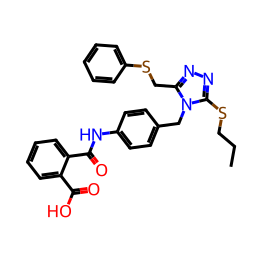 CCCSc1nnc(CSc2ccccc2)n1Cc1ccc(NC(=O)c2ccccc2C(=O)O)cc1